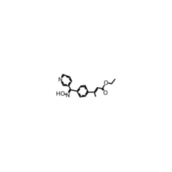 CCOC(=O)C=C(C)c1ccc(C(=NO)c2cccnc2)cc1